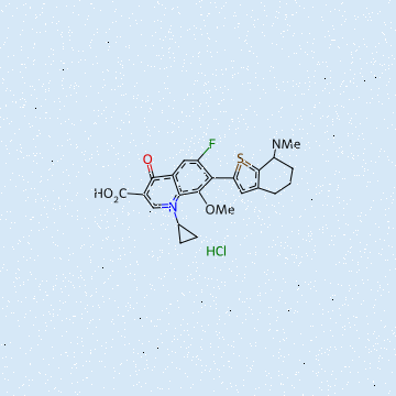 CNC1CCCc2cc(-c3c(F)cc4c(=O)c(C(=O)O)cn(C5CC5)c4c3OC)sc21.Cl